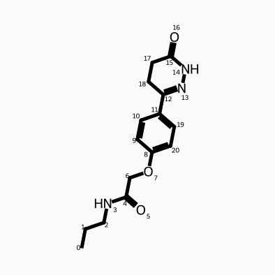 CCCNC(=O)COc1ccc(C2=NNC(=O)CC2)cc1